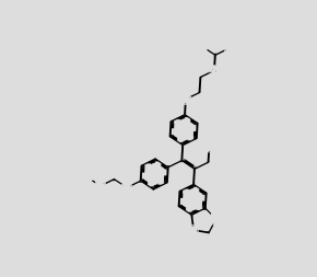 CCC(=C(c1ccc(OCCNC(C)C)cc1)c1ccc(OCOC)cc1)c1ccc2c(c1)OCO2